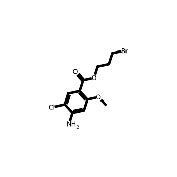 COc1cc(N)c(Cl)cc1C(=O)OCCCBr